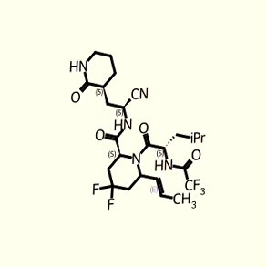 C/C=C/C1CC(F)(F)C[C@@H](C(=O)N[C@H](C#N)C[C@@H]2CCCNC2=O)N1C(=O)[C@H](CC(C)C)NC(=O)C(F)(F)F